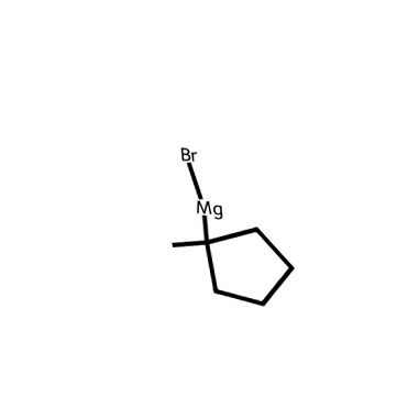 C[C]1([Mg][Br])CCCC1